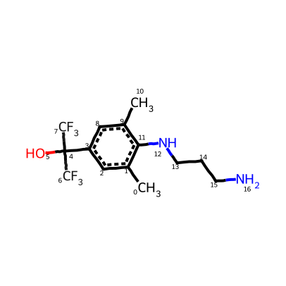 Cc1cc(C(O)(C(F)(F)F)C(F)(F)F)cc(C)c1NCCCN